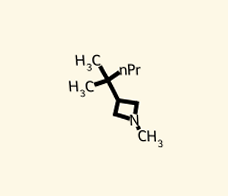 CCCC(C)(C)C1CN(C)C1